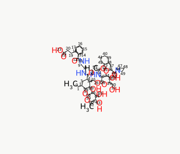 CCC1CC(C(=O)NCCNC(=O)c2ccccc2CCC(=O)O)C(CO[C@@H]2OC(CO)[C@H](O)C(O[C@@H](CC3CCCCC3)C(=O)N3CCC3)C2NC(C)=O)CC1O[C@@H]1OC(C)[C@@H](O)C(O)C1O